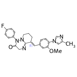 COc1cc(/C=C2\CCCN3C2=NCC(=O)N3c2ccc(F)cc2)ccc1-n1cnc(C)c1